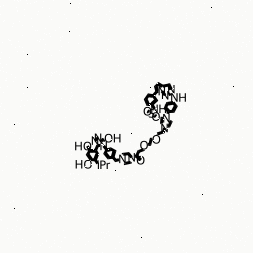 CC(C)c1cc(-c2nnc(O)n2-c2ccc(CN3CCN(C(=O)CCOCCOCCN4CCN(c5ccc(Nc6ncc7ccc(-c8cccc(NS(C)(=O)=O)c8)n7n6)cc5)CC4)CC3)cc2)c(O)cc1O